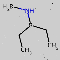 BNB(CC)CC